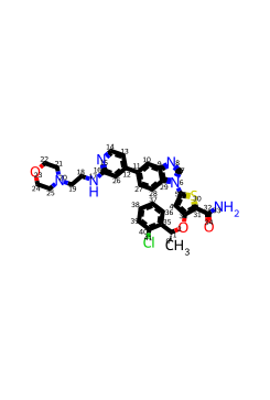 C[C@@H](Oc1cc(-n2cnc3cc(-c4ccnc(NCCN5CCOCC5)c4)ccc32)sc1C(N)=O)c1ccccc1Cl